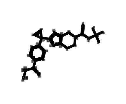 CC(C)(C)OC(=O)N1CCc2nc(C3(c4ccc(C(=O)NO)cc4)C=C3)sc2C1